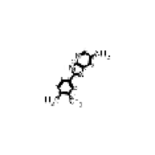 Cc1ccc(-c2nc3cc(N)cnc3[nH]2)cc1C(F)(F)F